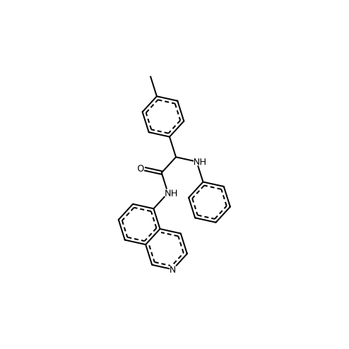 Cc1ccc(C(Nc2ccccc2)C(=O)Nc2cccc3cnccc23)cc1